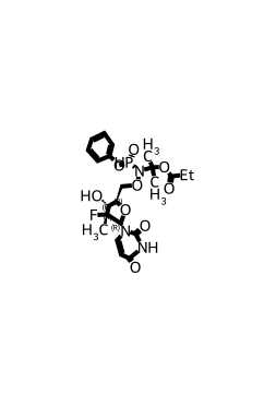 CCC(=O)OC(C)(C)N(OC[C@H]1O[C@@H](n2ccc(=O)[nH]c2=O)[C@](C)(F)[C@@H]1O)[PH](=O)Oc1ccccc1